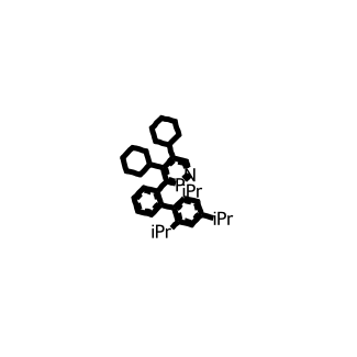 CC(C)c1cc(C(C)C)c(-c2ccccc2-c2pncc(C3CCCCC3)c2C2CCCCC2)c(C(C)C)c1